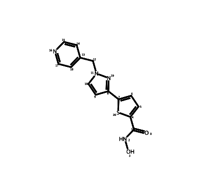 O=C(NO)c1ccc(-c2ccn(Cc3ccncc3)n2)s1